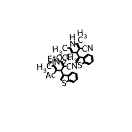 CC(=O)C1=C(C)NC(C)=C(C#N)C1c1csc2ccccc12.CCOC(=O)C1=C(C)NC(C)=C(C#N)C1c1csc2ccccc12